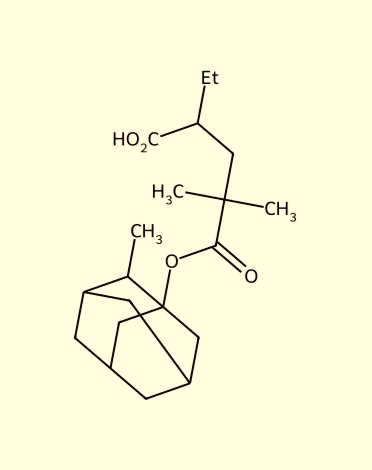 CCC(CC(C)(C)C(=O)OC12CC3CC(CC(C3)C1C)C2)C(=O)O